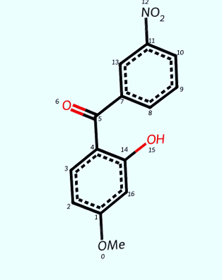 COc1ccc(C(=O)c2cccc([N+](=O)[O-])c2)c(O)c1